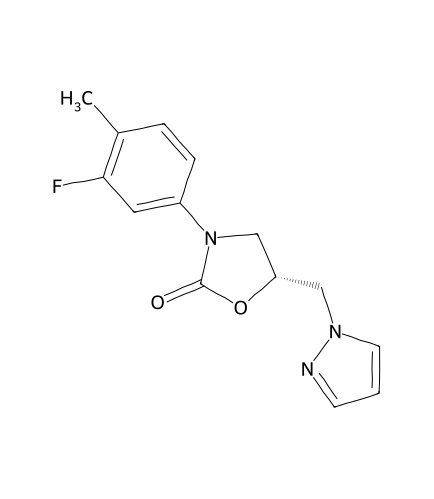 Cc1ccc(N2C[C@H](Cn3cccn3)OC2=O)cc1F